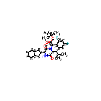 CC(C)CC1C(=O)NC(C2Cc3ccccc3C2)C(=O)N1C(C(=O)OC(C)(C)C)c1ccc(F)cc1F